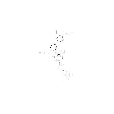 CCCOc1ccc(-c2ccc(C(Oc3cc(N4CCC5(CC4)CN[C@H](C(=O)O)C5)nc(N)n3)C(F)(F)F)cc2)cc1F